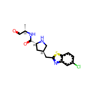 C[C@@H](C=O)NC(=O)[C@H]1C[C@H](Cc2nc3cc(Cl)ccc3s2)CN1